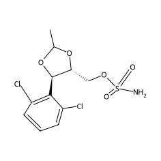 CC1O[C@H](c2c(Cl)cccc2Cl)[C@@H](COS(N)(=O)=O)O1